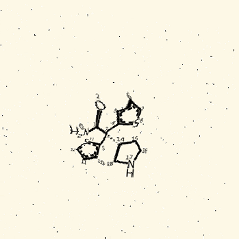 NC(=O)C(c1cccs1)(c1cccs1)[C@@H]1CCNC1